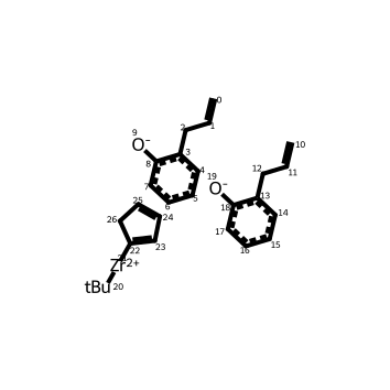 C=CCc1ccccc1[O-].C=CCc1ccccc1[O-].C[C](C)(C)[Zr+2][C]1=CC=CC1